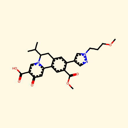 COCCCn1cc(-c2cc3c(cc2C(=O)OC)-c2cc(=O)c(C(=O)O)cn2C(C(C)C)C3)cn1